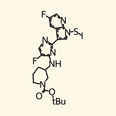 CC(C)(C)OC(=O)N1CCCC(Nc2nc(-c3cn(SI)c4ncc(F)cc34)ncc2F)C1